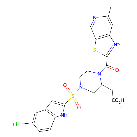 Cc1cc2c(cn1)SC(C(=O)N1CCN(S(=O)(=O)c3cc4cc(Cl)ccc4[nH]3)CC1CC(=O)O)=[N+]2.[I-]